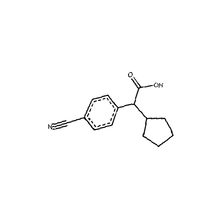 N#Cc1ccc(C(C(=O)O)C2CCCC2)cc1